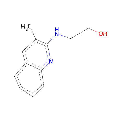 Cc1cc2ccccc2nc1NCCO